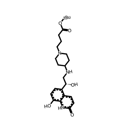 CC(C)(C)OC(=O)CCCN1CCC(NC[C@H](O)c2ccc(O)c3[nH]c(=O)ccc23)CC1